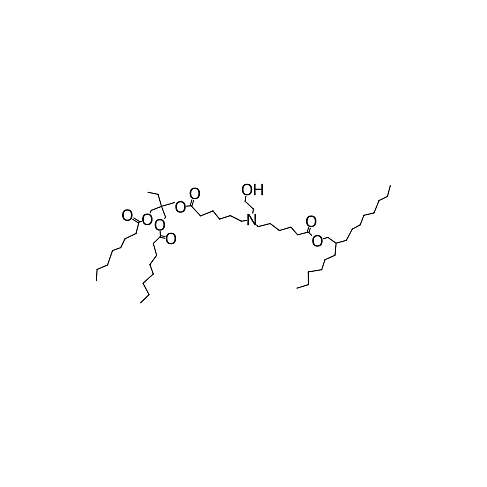 CCCCCCCCC(CCCCCC)COC(=O)CCCCCN(CCO)CCCCCC(=O)OCC(CC)(COC(=O)CCCCCCC)COC(=O)CCCCCCC